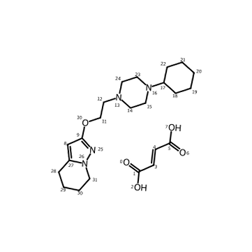 O=C(O)C=CC(=O)O.c1c(OCCN2CCN(C3CCCCC3)CC2)nn2c1CCCC2